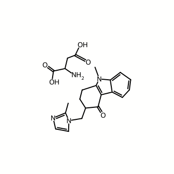 Cc1nccn1CC1CCc2c(c3ccccc3n2C)C1=O.NC(CC(=O)O)C(=O)O